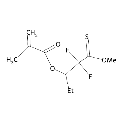 C=C(C)C(=O)OC(CC)C(F)(F)C(=S)OC